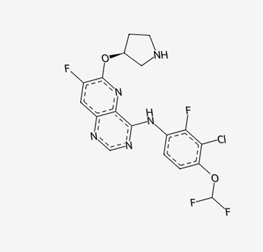 Fc1cc2ncnc(Nc3ccc(OC(F)F)c(Cl)c3F)c2nc1O[C@H]1CCNC1